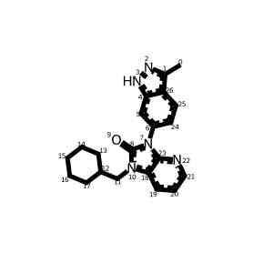 Cc1n[nH]c2cc(-n3c(=O)n(CC4CCCCC4)c4cccnc43)ccc12